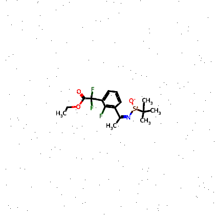 CCOC(=O)C(F)(F)c1cccc(/C(C)=N\[S@+]([O-])C(C)(C)C)c1F